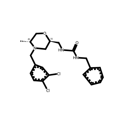 C[C@@H]1CO[C@@H](CNC(=O)NCc2ccccc2)CN1Cc1ccc(Cl)c(Cl)c1